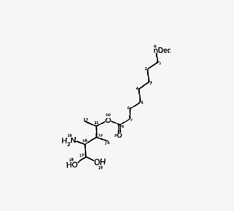 CCCCCCCCCCCCCCCCCC(=O)OC(C)C(C)C(N)C(O)O